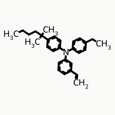 C=Cc1cccc(N(c2ccc(CC)cc2)c2ccc(C(C)(C)CCCC)cc2)c1